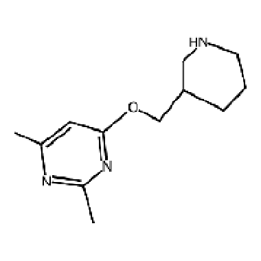 Cc1cc(OCC2CCCNC2)nc(C)n1